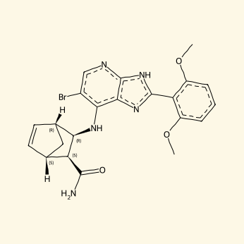 COc1cccc(OC)c1-c1nc2c(N[C@H]3[C@@H](C(N)=O)[C@@H]4C=C[C@H]3C4)c(Br)cnc2[nH]1